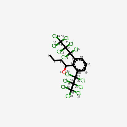 CCCC([O])c1c(C(Cl)(Cl)C(Cl)(Cl)C(Cl)(Cl)Cl)cccc1C(Cl)(Cl)C(Cl)(Cl)C(Cl)(Cl)Cl